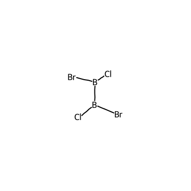 ClB(Br)B(Cl)Br